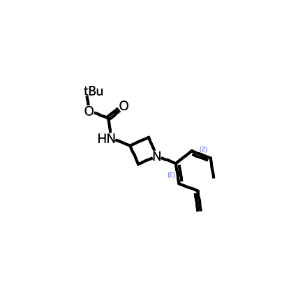 C=C/C=C(\C=C/C)N1CC(NC(=O)OC(C)(C)C)C1